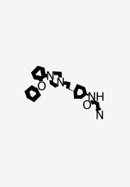 N#CCC(=O)N[C@H]1CC[C@H](CCN2CCN(c3ccccc3Oc3ccccc3)CC2)CC1